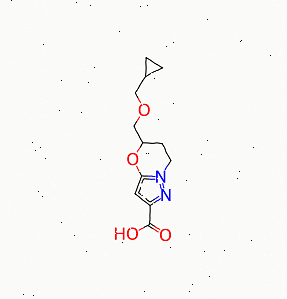 O=C(O)c1cc2n(n1)CCC(COCC1CC1)O2